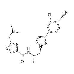 C[C@@H](Cn1ccc(-c2ccc(C#N)c(Cl)c2)n1)NC(=O)c1csc(CN(C)C)n1